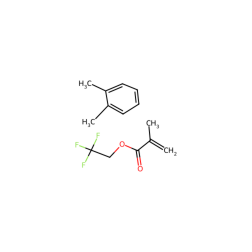 C=C(C)C(=O)OCC(F)(F)F.Cc1ccccc1C